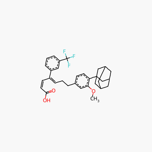 COc1cc(CC/C=C(/C=C\C(=O)O)c2cccc(C(F)(F)F)c2)ccc1C12CC3CC(CC(C3)C1)C2